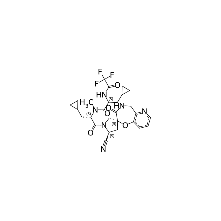 CN(C(=O)[C@H](CC1CC1)NC(=O)C(F)(F)F)[C@@H](CC1CC1)C(=O)N1C[C@@]2(C[C@H]1C#N)Oc1cccnc1CNC2=O